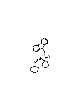 O=C(OCC1c2ccccc2-c2ccccc21)C1(N=C=NC2CCCCC2)CCCCC1